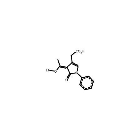 CCOC(C)=C1C(=O)N(c2ccccc2)N=C1CC(=O)O